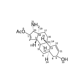 CC(=O)OC1=C[C@H]2[C@@H]3CC[C@@H]4CC(O)C=C[C@]4(C)[C@H]3CC[C@]2(C)[C@H]1N